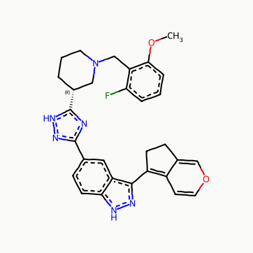 COc1cccc(F)c1CN1CCC[C@@H](c2nc(-c3ccc4[nH]nc(C5=C6C=COC=C6CC5)c4c3)n[nH]2)C1